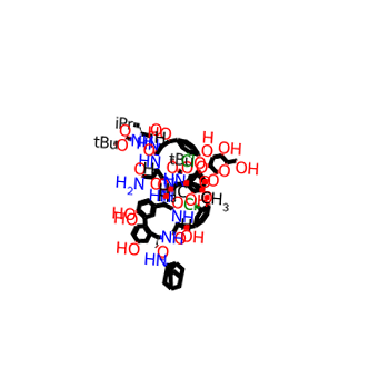 CC(C)C[C@@H](NC(=O)OC(C)(C)C)C(=O)N[C@H]1C(=O)N[C@@H](CC(N)=O)C(=O)N[C@H]2C(=O)N[C@H]3C(=O)N[C@@H](C(=O)N[C@H](CONC4C5CC6CC(C5)CC4C6)C4=C(C(O)=CC(O)C4)c4cc3ccc4O)C(O)c3ccc(c(Cl)c3)Oc3cc2cc(c3OC2OC(CO)C(O)C(O)C2OC2CC(C)(NC(=O)OC(C)(C)C)C(O)C(C)O2)Oc2ccc(cc2Cl)C1O